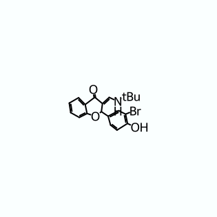 CC(C)(C)NC=C1C(=O)c2ccccc2OC1c1ccc(O)c(Br)c1